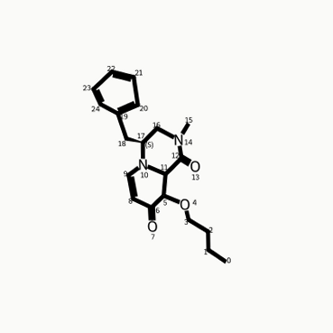 CCCCOC1C(=O)C=CN2C1C(=O)N(C)C[C@@H]2Cc1ccccc1